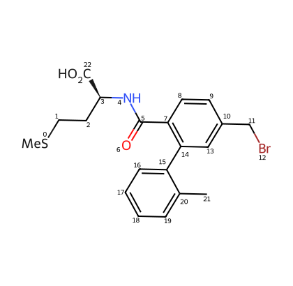 CSCC[C@H](NC(=O)c1ccc(CBr)cc1-c1ccccc1C)C(=O)O